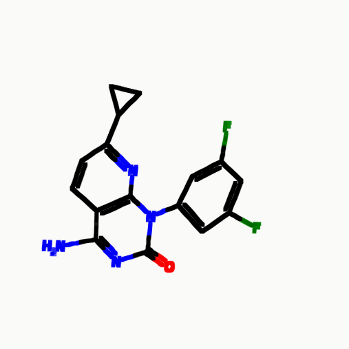 Nc1nc(=O)n(-c2cc(F)cc(F)c2)c2nc(C3CC3)ccc12